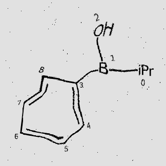 CC(C)B(O)c1ccccc1